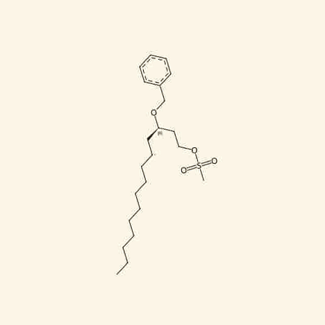 CCCCCCCCC[CH]C[C@H](CCOS(C)(=O)=O)OCc1ccccc1